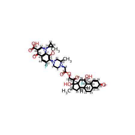 COc1c(N2CCN(CC(=O)OCC(=O)[C@]3(O)[C@@H](C)C[C@@H]4[C@H]5CCC6=CC(=O)C=C[C@@]6(C)[C@]5(F)[C@H](O)C[C@]43C)C(C)C2)c(F)cc2c(=O)c(C(=O)O)cn(C3CC3)c12